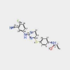 C=CC(=O)Nc1ccc(Sc2ccnc(Nc3ccc(F)c(C#N)c3)n2)cc1